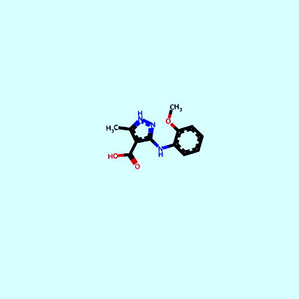 COc1ccccc1Nc1n[nH]c(C)c1C(=O)O